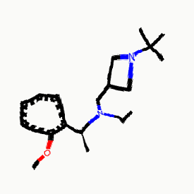 CCN(CC1CN(C(C)(C)C)C1)[C@@H](C)c1ccccc1OC